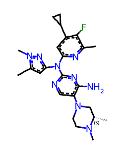 Cc1nc(N(c2cc(C)n(C)n2)c2ncc(N3CCN(C)[C@@H](C)C3)c(N)n2)cc(C2CC2)c1F